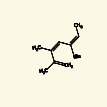 C=C(C)/C(C)=C\C(=C/C)C(C)(C)C